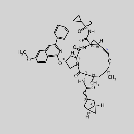 COc1ccc2c(O[C@@H]3C[C@H]4C(=O)N[C@]5(C(=O)NS(=O)(=O)C6CC6)C[C@H]5/C=C\CC[C@H](C)C[C@@H](C)[C@H](NC(=O)O[C@@H]5C[C@@H]6C[C@@H]6C5)C(=O)N4C3)nc(-c3ccccc3)cc2c1